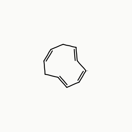 [C]1=C\C=C\C/C=C\C/C=C/1